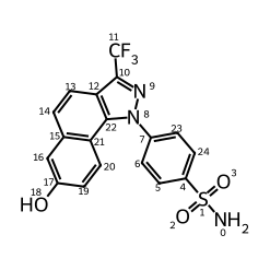 NS(=O)(=O)c1ccc(-n2nc(C(F)(F)F)c3ccc4cc(O)ccc4c32)cc1